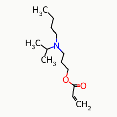 C=CC(=O)OCCCN(CCCC)C(C)C